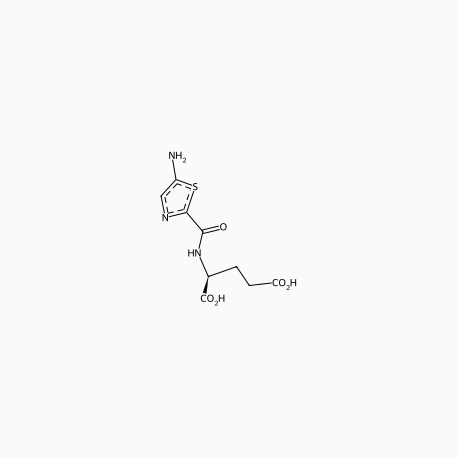 Nc1cnc(C(=O)N[C@@H](CCC(=O)O)C(=O)O)s1